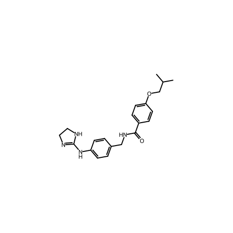 CC(C)COc1ccc(C(=O)NCc2ccc(NC3=NCCN3)cc2)cc1